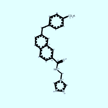 O=C(O)c1ccc(Cc2ccc3ccc(C(=O)NCn4cnnc4)cc3c2)cc1